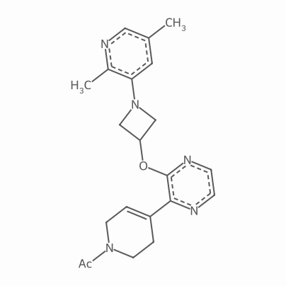 CC(=O)N1CC=C(c2nccnc2OC2CN(c3cc(C)cnc3C)C2)CC1